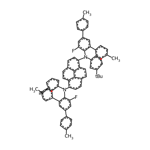 Cc1ccc(-c2cc(F)c(N(c3cccc(C(C)C)c3)c3ccc4ccc5c(N(c6cccc(C(C)(C)C)c6)c6c(F)cc(-c7ccc(C)cc7)cc6-c6ccc(C)cc6)ccc6ccc3c4c65)c(-c3ccc(C)cc3)c2)cc1